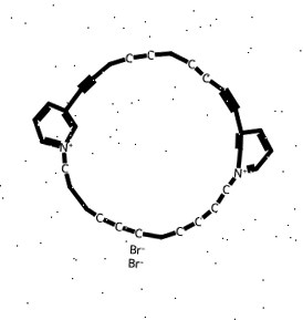 C1#Cc2ccc[n+](c2)CCCCCCCCCCC[n+]2cccc(c2)C#CCCCCCC1.[Br-].[Br-]